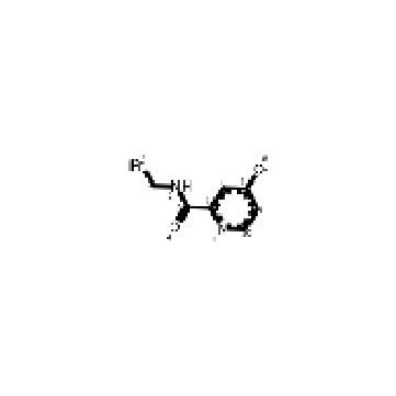 CC(C)CNC(=O)c1cc([O])ccn1